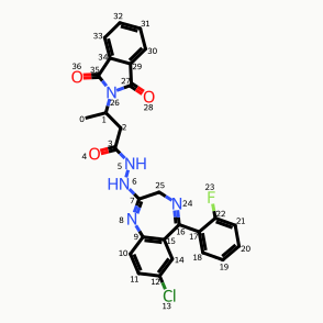 CC(CC(=O)NNC1=Nc2ccc(Cl)cc2C(c2ccccc2F)=NC1)N1C(=O)c2ccccc2C1=O